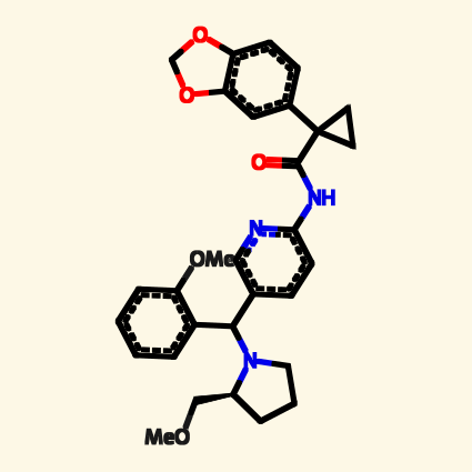 COC[C@@H]1CCCN1C(c1ccc(NC(=O)C2(c3ccc4c(c3)OCO4)CC2)nc1)c1ccccc1OC